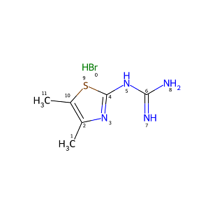 Br.Cc1nc(NC(=N)N)sc1C